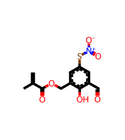 C=C(C)C(=O)OCc1cc(S[N+](=O)[O-])cc(C=O)c1O